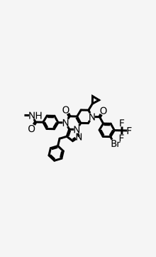 CNC(=O)c1ccc(-n2c(=O)c3c(n4ncc(Cc5ccccc5)c24)CN(C(=O)c2ccc(Br)c(C(F)(F)F)c2)C(C2CC2)C3)cc1